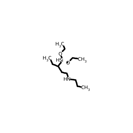 CCCNCCC(CC)[SiH](OCC)OCC